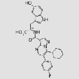 O=C(N[C@@H](Cc1c[nH]c2ccc(O)cc12)C(=O)O)c1cnn2c(C3CCCCC3)c(-c3ccc(F)cc3)cnc12